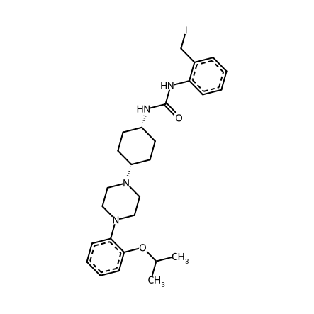 CC(C)Oc1ccccc1N1CCN([C@H]2CC[C@@H](NC(=O)Nc3ccccc3CI)CC2)CC1